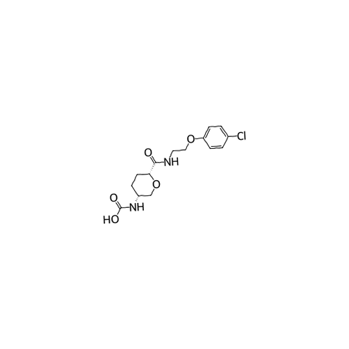 O=C(O)N[C@@H]1CC[C@H](C(=O)NCCOc2ccc(Cl)cc2)OC1